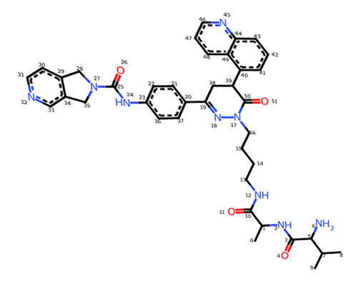 CC(NC(=O)C(N)C(C)C)C(=O)NCCCCN1N=C(c2ccc(NC(=O)N3Cc4ccncc4C3)cc2)CC(c2cccc3ncccc23)C1=O